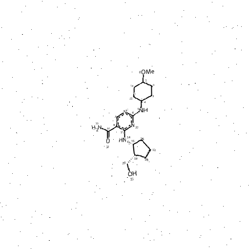 COC1CCC(Nc2ncc(C(N)=O)c(N[C@@H]3CCC[C@@H]3CO)n2)CC1